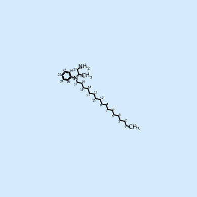 CCCCCCCCCCCCCCCCCCN(c1ccccc1)C(C)CN